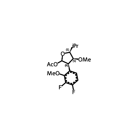 COc1c([C@H]2C(OC(C)=O)O[C@@H](C(C)C)[C@H]2OC)ccc(F)c1F